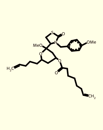 C=CCCCCCC(=O)OC1CC(CCCC=C)OC(OC)(C2CSC(=O)N2Cc2ccc(OC)cc2)C1